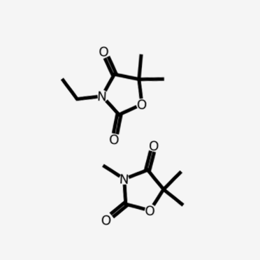 CCN1C(=O)OC(C)(C)C1=O.CN1C(=O)OC(C)(C)C1=O